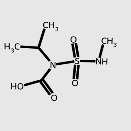 CNS(=O)(=O)N(C(=O)O)C(C)C